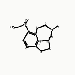 CN1CCc2c([N+](=O)[O-])ccc3c2C(CC3)C1